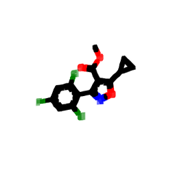 COC(=O)c1c(-c2c(Cl)cc(F)cc2Cl)noc1C1CC1